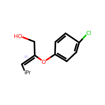 CC(C)/C=C(/CO)Oc1ccc(Cl)cc1